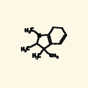 CC1N(C)C2=C(C=CCC2)C1(C)C